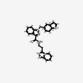 O=C(NCCc1nnc2ccccn12)c1nn(Cc2ccc3sccc3c2)c2ccccc12